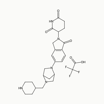 O=C(O)C(F)(F)F.O=C1CCC(N2Cc3cc(N4CC5CC4CN5CC4CCNCC4)ccc3C2=O)C(=O)N1